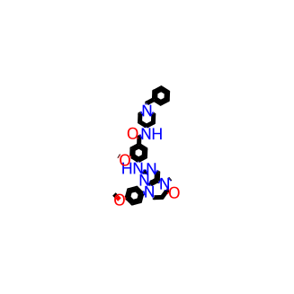 COc1ccc(N2CCC(=O)N(C)c3cnc(Nc4ccc(C(=O)NC5CCN(Cc6ccccc6)CC5)cc4OC)nc32)cc1